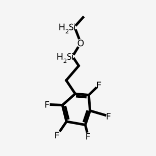 C[SiH2]O[SiH2]CCc1c(F)c(F)c(F)c(F)c1F